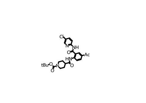 CC(=O)c1ccc(NC(=O)C2CCN(C(=O)OC(C)(C)C)CC2)c(C(=O)Nc2ccc(Cl)cn2)c1